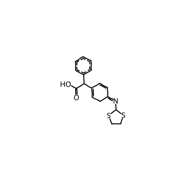 O=C(O)C(C1=CCC(=NC2SCCS2)C=C1)c1ccccc1